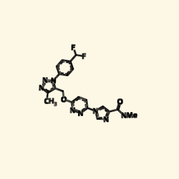 CNC(=O)c1cn(-c2ccc(OCc3c(C)nnn3-c3ccc(C(F)F)cc3)nn2)cn1